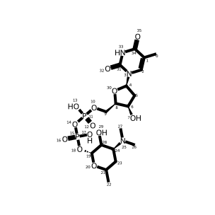 Cc1cn([C@H]2C[C@@H](O)[C@@H](COP(=O)(O)OP(=O)(O)O[C@H]3OC(C)C[C@H](N(C)C)C3O)O2)c(=O)[nH]c1=O